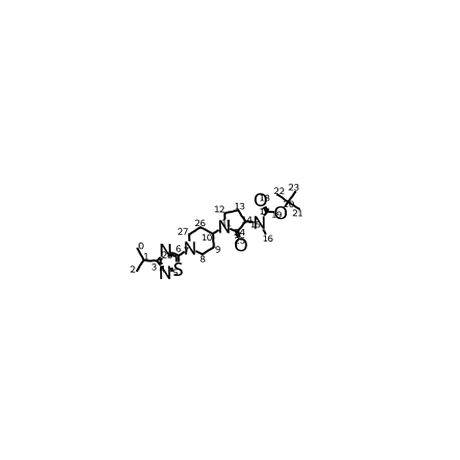 CC(C)c1nsc(N2CCC(N3CCC(N(C)C(=O)OC(C)(C)C)C3=O)CC2)n1